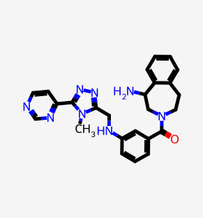 Cn1c(CNc2cccc(C(=O)N3CCc4ccccc4C(N)C3)c2)nnc1-c1ccncn1